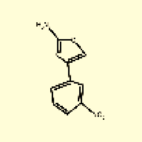 Nc1nc(-c2cccc([N+](=O)[O-])c2)co1